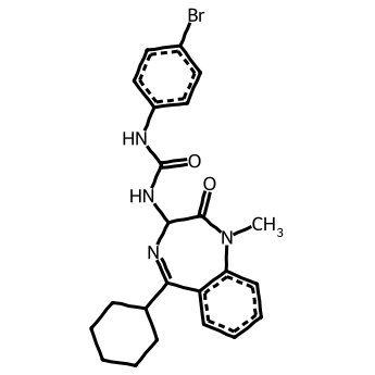 CN1C(=O)C(NC(=O)Nc2ccc(Br)cc2)N=C(C2CCCCC2)c2ccccc21